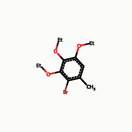 CCOc1cc(C)c(Br)c(OCC)c1OCC